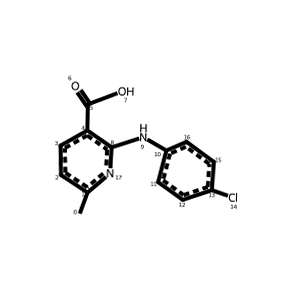 Cc1ccc(C(=O)O)c(Nc2ccc(Cl)cc2)n1